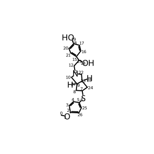 COc1ccc(SC2C[C@@H]3CN(CC(O)c4ccc(O)cc4)C[C@@H]3C2)cc1